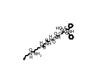 C#CCCCNC(=O)[C@@H](N)CCCCNC(=O)CNC(=O)CNC(=O)CNC(=O)COCC(=O)O[C@@H](C(=O)O)C(NC(=O)c1ccccc1)c1ccccc1